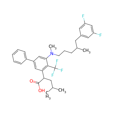 CC(C)CC(C(=O)O)c1cc(-c2ccccc2)cc(N(C)CCCC(C)Cc2cc(F)cc(F)c2)c1C(F)(F)F